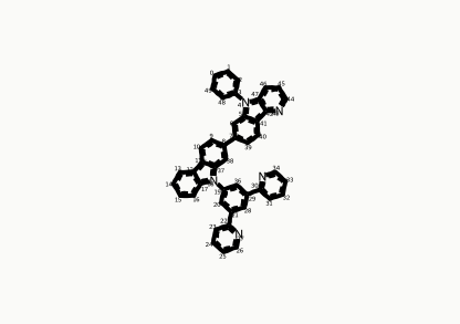 c1ccc(-n2c3cc(-c4ccc5c6ccccc6n(-c6cc(-c7ccccn7)cc(-c7ccccn7)c6)c5c4)ccc3c3ncccc32)cc1